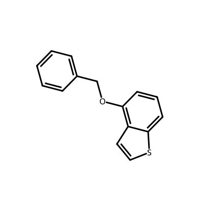 c1ccc(COc2cccc3sccc23)cc1